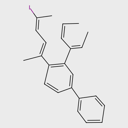 C/C=C\C(=C/C)c1cc(-c2ccccc2)ccc1/C(C)=C/C=C(\C)I